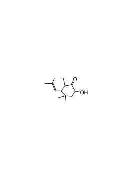 CC(C)=CC1C(C)C(=O)C(O)CC1(C)C